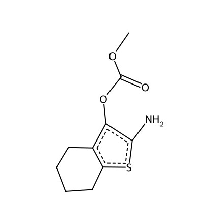 COC(=O)Oc1c(N)sc2c1CCCC2